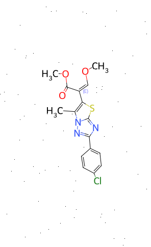 CO/C=C(\C(=O)OC)c1sc2nc(-c3ccc(Cl)cc3)nn2c1C